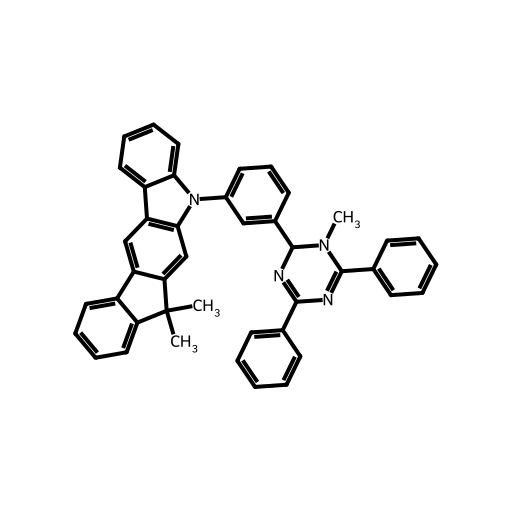 CN1C(c2ccccc2)=NC(c2ccccc2)=NC1c1cccc(-n2c3ccccc3c3cc4c(cc32)C(C)(C)c2ccccc2-4)c1